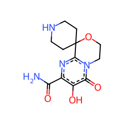 NC(=O)c1nc2n(c(=O)c1O)CCOC21CCNCC1